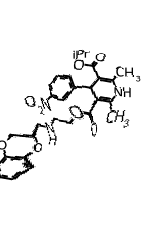 CC1=C(C(=O)OCCNCC2COc3ccccc3O2)C(c2cccc([N+](=O)[O-])c2)C(C(=O)OC(C)C)=C(C)N1